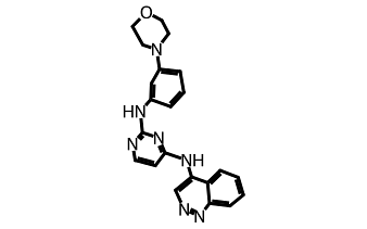 c1cc(Nc2nccc(Nc3cnnc4ccccc34)n2)cc(N2CCOCC2)c1